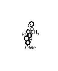 CC[C@@]12CCc3cc(OC)ccc3[C@H]1CC[C@]1(C)[C@@H](OC3CCCCO3)CC[C@H]12